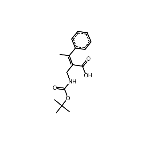 CC(=C(CNC(=O)OC(C)(C)C)C(=O)O)c1ccccc1